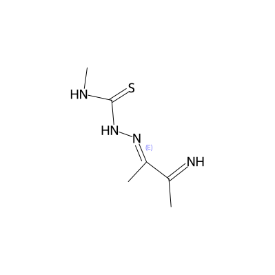 CNC(=S)N/N=C(\C)C(C)=N